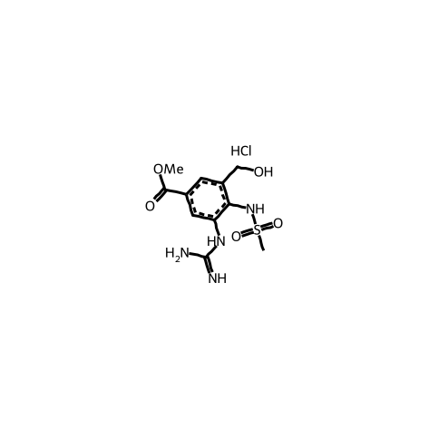 COC(=O)c1cc(CO)c(NS(C)(=O)=O)c(NC(=N)N)c1.Cl